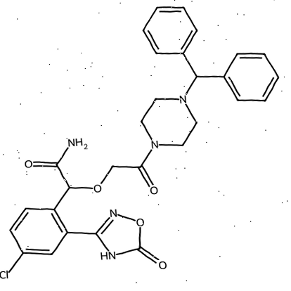 NC(=O)C(OCC(=O)N1CCN(C(c2ccccc2)c2ccccc2)CC1)c1ccc(Cl)cc1-c1noc(=O)[nH]1